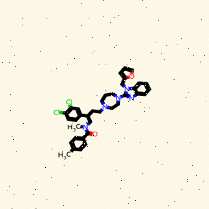 Cc1ccc(C(=O)N(C)CC(CCN2CCCN(c3nc4ccccc4n3Cc3ccco3)CC2)c2ccc(Cl)c(Cl)c2)cc1